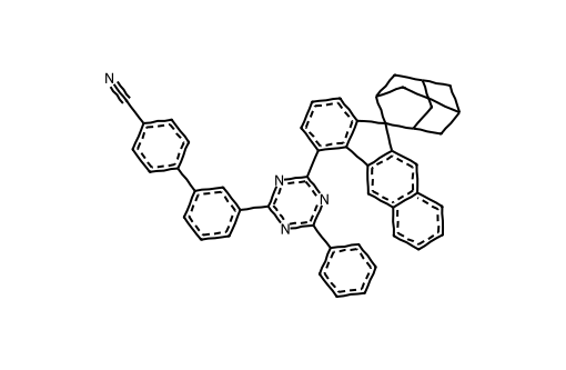 N#Cc1ccc(-c2cccc(-c3nc(-c4ccccc4)nc(-c4cccc5c4-c4cc6ccccc6cc4C54C5CC6CC(C5)CC4C6)n3)c2)cc1